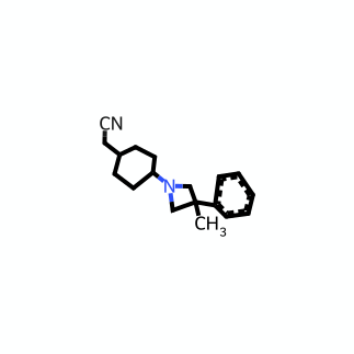 CC1(c2ccccc2)CN(C2CCC(CC#N)CC2)C1